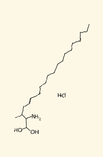 CCCCCCCCCCCCCCCCCC(C)C(N)C(O)O.Cl